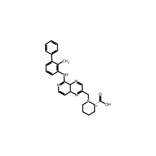 Cc1c(NC2=NC=CC3N=C(CN4CCCC[C@H]4C(=O)O)C=NC23)cccc1-c1ccccc1